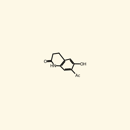 CC(=O)c1cc2c(cc1O)CCC(=O)N2